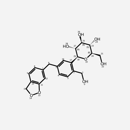 OCc1ccc(Cc2ccc3c(c2)OOC3)cc1[C@@H]1O[C@H](CO)[C@@H](O)[C@H](O)[C@H]1O